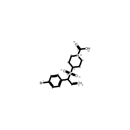 C=CC(c1ccc(Br)cc1)S(=O)(=O)C1CCN(C(=O)O)CC1